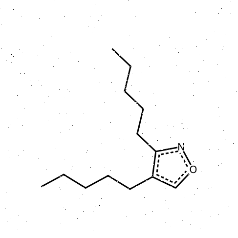 CCCCCc1conc1CCCCC